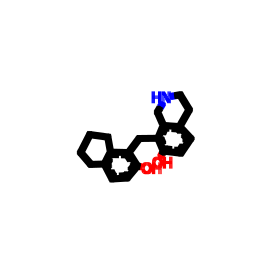 Oc1ccc2c(c1Cc1c(O)ccc3c1CNCC3)CCCC2